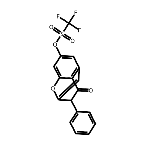 O=C1c2c3cc(OS(=O)(=O)C(F)(F)F)cc2OC(=C3)C1c1ccccc1